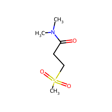 CN(C)C(=O)CCS(C)(=O)=O